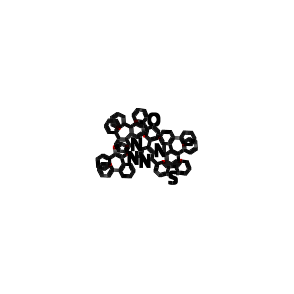 c1ccc(-c2cccc3c2c2c(-c4ccccc4)cccc2n3-c2nc(-c3ccc4sc5ccccc5c4c3)c(-n3c4cccc(-c5ccccc5)c4c4c(-c5ccccc5)cccc43)c(-c3ccc4oc5ccccc5c4c3)c2-n2c3cccc(-c4ccccc4)c3c3c(-c4ccccc4)cccc32)cc1